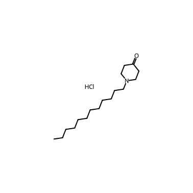 CCCCCCCCCCCCN1CCC(=O)CC1.Cl